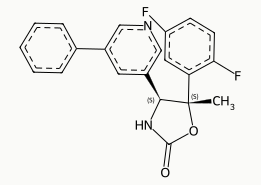 C[C@@]1(c2cc(F)ccc2F)OC(=O)N[C@H]1c1cncc(-c2ccccc2)c1